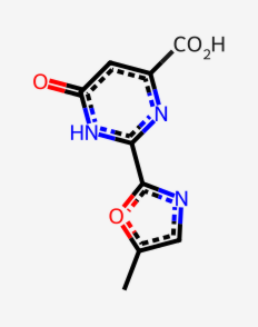 Cc1cnc(-c2nc(C(=O)O)cc(=O)[nH]2)o1